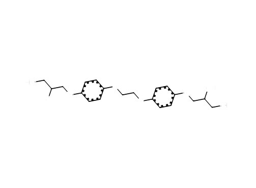 OCC(O)COc1ccc(SCCSc2ccc(OCC(O)CO)cc2)cc1